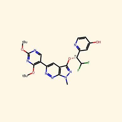 Cn1nc(O[C@H](c2cc(O)ccn2)C(F)F)c2cc(-c3cnc(OC(C)(C)C)nc3OC(C)(C)C)nnc21